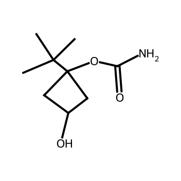 CC(C)(C)C1(OC(N)=O)CC(O)C1